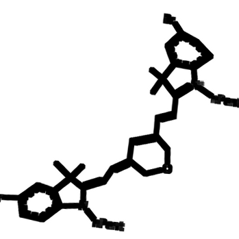 CCCCCN1/C(=C/C=C2C=C(/C=C/C3=[N+](CCCCC)c4ccc(Br)cc4C3(C)C)COC/2)C(C)(C)c2cc(Br)ccc21